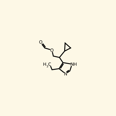 CCc1nc[nH]c1C(COC=O)C1CC1